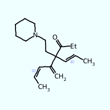 C=C(/C=C\C)C(/C=C/C)(CCN1CCCCC1)C(=O)CC